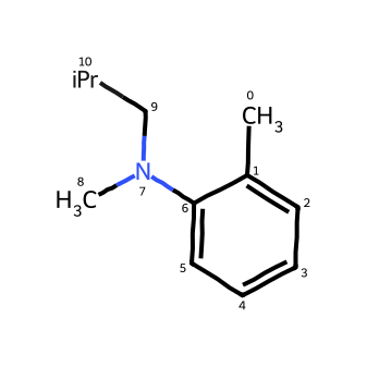 Cc1ccccc1N(C)CC(C)C